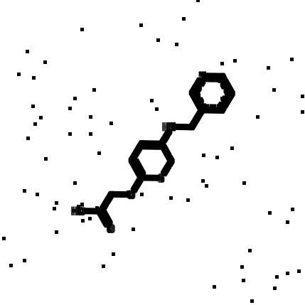 O=C(O)COC1=CC=C(NCc2cccnc2)CS1